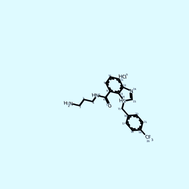 Cl.NCCCNC(=O)c1cccc2c1[SH](Cc1ccc(C(F)(F)F)cc1)C=N2